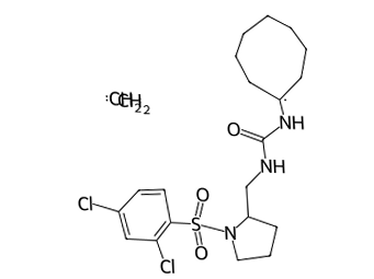 O=C(NCC1CCCN1S(=O)(=O)c1ccc(Cl)cc1Cl)N[C]1CCCCCCC1.[CH2].[CH2]